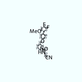 COc1cc(F)c(F)cc1-c1ccc(OCC2CCCN(C(=O)NCCC#N)C2)cc1